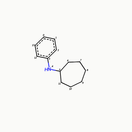 [c]1ccc(NC2CCCCCC2)cc1